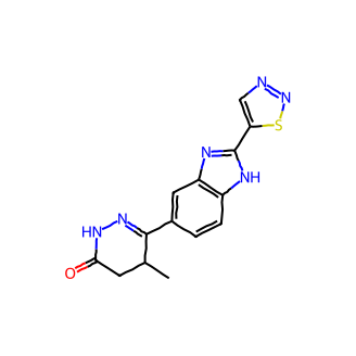 CC1CC(=O)NN=C1c1ccc2[nH]c(-c3cnns3)nc2c1